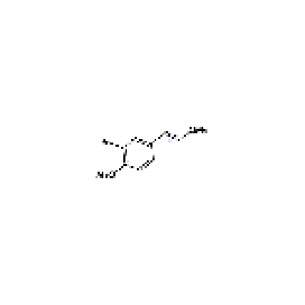 CO/C=C/c1ccc(OC)c(Br)c1